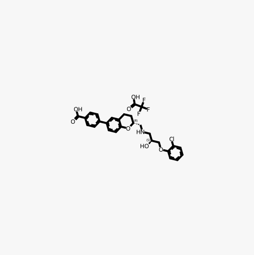 O=C(O)C(F)(F)F.O=C(O)c1ccc(-c2ccc3c(c2)CC[C@H](CNC[C@H](O)COc2ccccc2Cl)O3)cc1